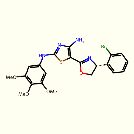 COc1cc(Nc2nc(N)c(C3=N[C@H](c4ccccc4Br)CO3)s2)cc(OC)c1OC